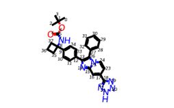 CC(C)(C)OC(=O)NC1(c2ccc(-c3nc4cc(-c5nn[nH]n5)ccn4c3-c3ccccc3)cc2)CCC1